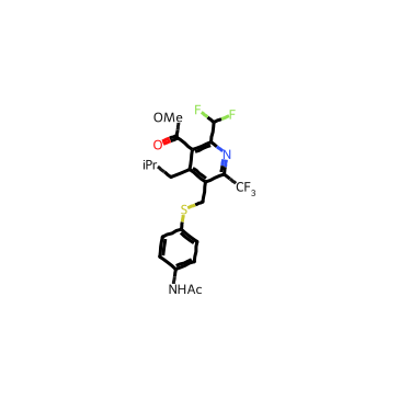 COC(=O)c1c(C(F)F)nc(C(F)(F)F)c(CSc2ccc(NC(C)=O)cc2)c1CC(C)C